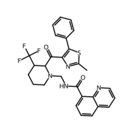 Cc1nc(C(=O)C2C(C(F)(F)F)CCCN2CNC(=O)c2cccc3cccnc23)c(-c2ccccc2)s1